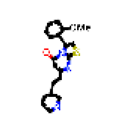 COc1ccccc1-c1csc2nc(/C=C/c3cccnc3)cc(=O)n12